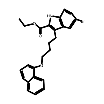 CCOC(=O)c1[nH]c2ccc(Br)cc2c1CCCCOc1cccc2ccccc12